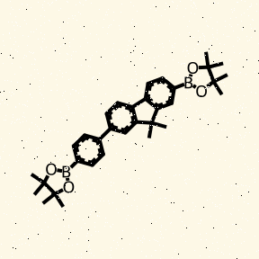 CC1(C)c2cc(B3OC(C)(C)C(C)(C)O3)ccc2-c2ccc(-c3ccc(B4OC(C)(C)C(C)(C)O4)cc3)cc21